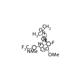 C=CC(=O)N1CCn2nc(-c3nc(-c4ccc([C@@H](NC)C(F)(F)F)cc4)c4ccsc4c3-c3c(F)cc(F)cc3OCCOC)cc2[C@H]1C